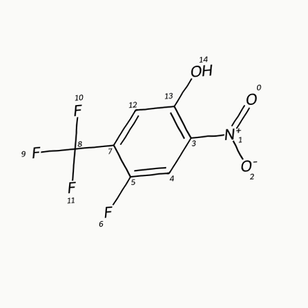 O=[N+]([O-])c1cc(F)c(C(F)(F)F)cc1O